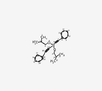 CC(C)CO[Si](C#Cc1ccccc1)(C#Cc1ccccc1)OCC(C)C